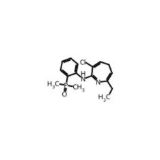 CCC1=CCC=C(Cl)C(Nc2ccccc2P(C)(C)=O)=N1